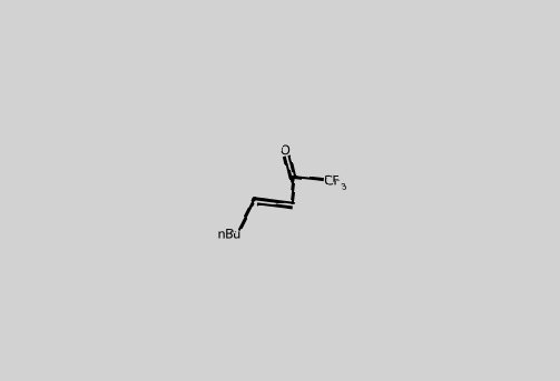 CCCCC=CC(=O)C(F)(F)F